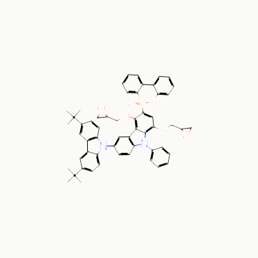 CC(C)(C)c1ccc2c(c1)c1cc(C(C)(C)C)ccc1n2-c1ccc2c(c1)c1c(OCC3CO3)c(P3(=O)Oc4ccccc4-c4ccccc43)cc(OCC3CO3)c1n2-c1ccccc1